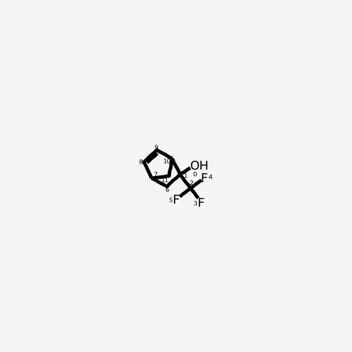 OC1(C(F)(F)F)CC2C=CC1C2